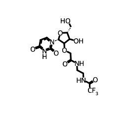 O=C(COC1C(O)[C@@H](CO)O[C@H]1n1ccc(=O)[nH]c1=O)NCCNC(=O)C(F)(F)F